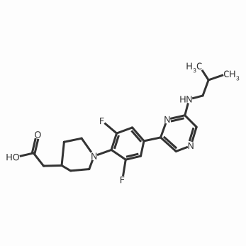 CC(C)CNc1cncc(-c2cc(F)c(N3CCC(CC(=O)O)CC3)c(F)c2)n1